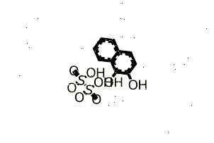 O=S(=O)(O)S(=O)(=O)O.Oc1ccc2ccccc2c1O